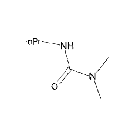 CC[CH]NC(=O)N(C)C